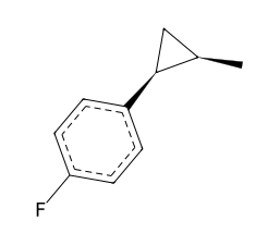 C[C@@H]1C[C@@H]1c1ccc(F)cc1